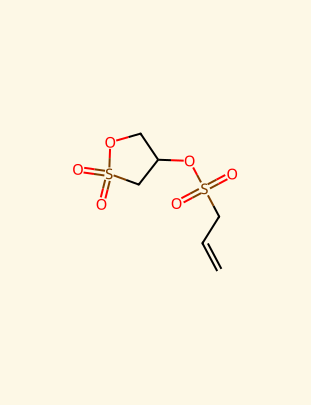 C=CCS(=O)(=O)OC1COS(=O)(=O)C1